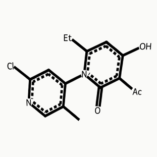 CCc1cc(O)c(C(C)=O)c(=O)n1-c1cc(Cl)ncc1C